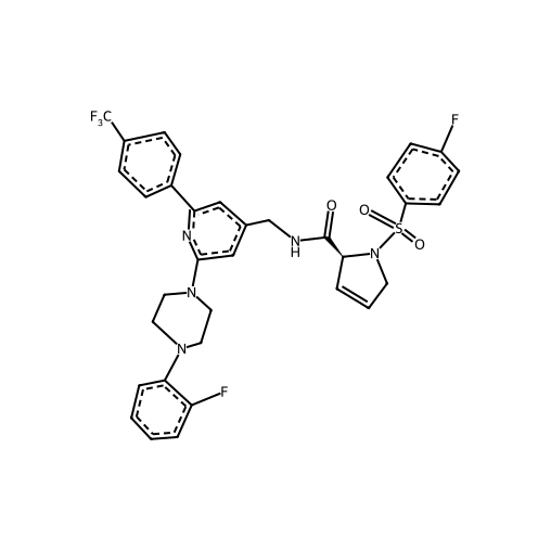 O=C(NCc1cc(-c2ccc(C(F)(F)F)cc2)nc(N2CCN(c3ccccc3F)CC2)c1)[C@@H]1C=CCN1S(=O)(=O)c1ccc(F)cc1